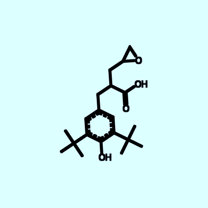 CC(C)(C)c1cc(CC(CC2CO2)C(=O)O)cc(C(C)(C)C)c1O